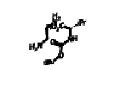 CC(C)[C@H](NC(=O)OC(C)(C)C)C(=O)O.NCCN